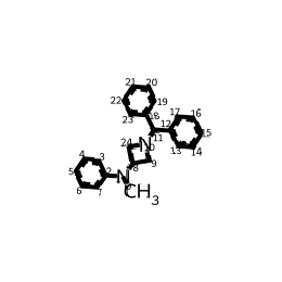 CN(c1ccccc1)C1CN(C(c2ccccc2)c2ccccc2)C1